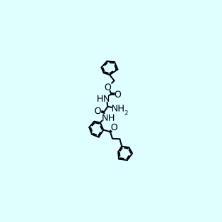 NC(NC(=O)OCc1ccccc1)C(=O)Nc1ccccc1C(=O)CCc1ccccc1